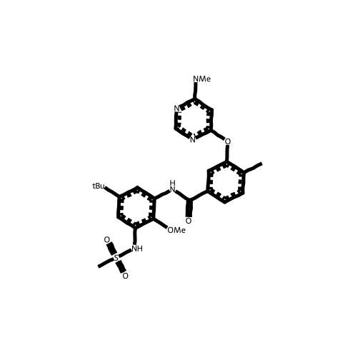 CNc1cc(Oc2cc(C(=O)Nc3cc(C(C)(C)C)cc(NS(C)(=O)=O)c3OC)ccc2C)ncn1